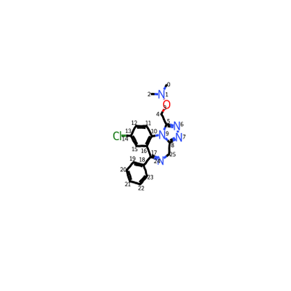 CN(C)OCc1nnc2n1-c1ccc(Cl)cc1C(c1ccccc1)=NC2